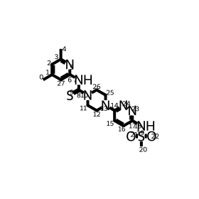 Cc1cc(C)nc(NC(=S)N2CCN(c3ccc(NS(C)(=O)=O)nn3)CC2)c1